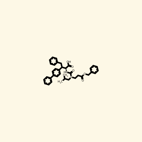 CC(C)CN(CCC(=O)OCc1ccccc1)C(=O)N[C@H](C(=O)O)C(Cc1ccccc1)c1ccc(-c2ccccc2)cc1